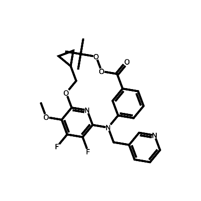 COc1c(OCC2CC2)nc(N(Cc2cccnc2)c2cccc(C(=O)OOC(C)(C)C)c2)c(F)c1F